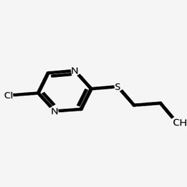 CCCSc1cnc(Cl)cn1